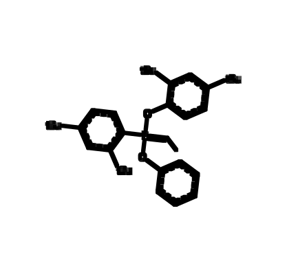 CC=P(Oc1ccccc1)(Oc1ccc(C(C)(C)C)cc1C(C)(C)C)c1ccc(C(C)(C)C)cc1C(C)(C)C